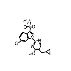 COc1nc(-n2cc(S(N)(=O)=O)c3ccc(Cl)cc32)ncc1CC1CC1